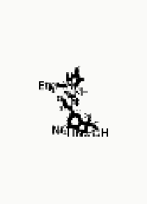 CCOCCn1nc(C)cc1Nc1nccc(-c2cc(C#N)c3c(c2)C(C)(CO)CN3)n1